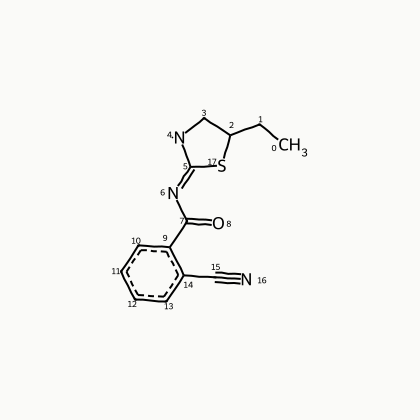 CCC1C[N]C(=NC(=O)c2ccccc2C#N)S1